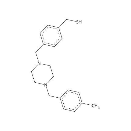 Cc1ccc(CN2CCN(Cc3ccc(CS)cc3)CC2)cc1